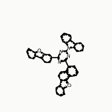 c1ccc2c(c1)oc1cc(-c3nc(-c4cccc5c4ccc4c6ccccc6oc54)nc(-n4c5ccccc5c5ccccc54)n3)ccc12